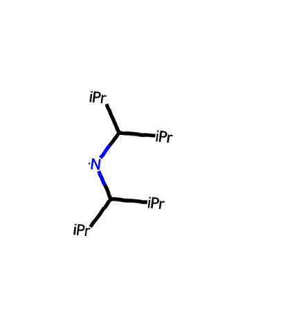 CC(C)C([N]C(C(C)C)C(C)C)C(C)C